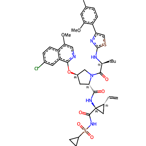 C=C[C@@H]1C[C@]1(NC(=O)[C@@H]1C[C@@H](Oc2ncc(OC)c3ccc(Cl)cc23)CN1C(=O)[C@@H](Nc1nc(-c2ccc(OC)cc2OC)cs1)C(C)(C)C)C(=O)NS(=O)(=O)C1CC1